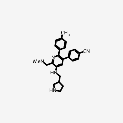 CNCc1nc(-c2ccc(C)cc2)c(-c2ccc(C#N)cc2)cc1NCC1CCNC1